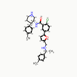 Cc1ccc([C@@H](C)NCc2ccc(-c3ccc(Cl)c(C(=O)N[C@H]4CNCC[C@@H]4c4ccc(C#N)cc4)c3)o2)cc1